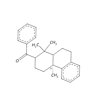 CC1(C)C(C(=O)c2ccccc2)CC[C@]2(C)c3ccccc3CCC12